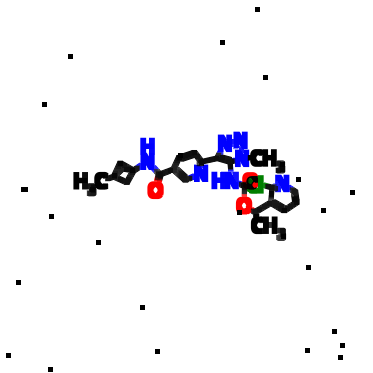 C[C@@H](OC(=O)Nc1c(-c2ccc(C(=O)NC34CC(C)(C3)C4)cn2)nnn1C)c1cccnc1Cl